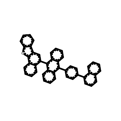 c1ccc2c(-c3ccc(-c4c5ccccc5c(-c5cc6c7ccccc7oc6c6ccccc56)c5ccccc45)cc3)cccc2c1